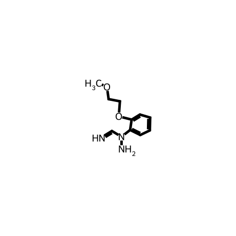 COCCOc1ccccc1N(N)C=N